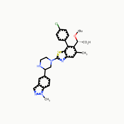 Cc1cc2nc(N3CCNC(c4ccc5c(cnn5C)c4)C3)sc2c(-c2ccc(Cl)cc2)c1[C@H](OC(C)(C)C)C(=O)O